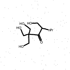 CCCC(CO)C(=O)C(CO)(CO)CO